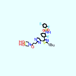 CC(C)(C)c1nc(-c2cccc(NS(=O)(=O)c3cc(F)ccc3F)c2F)c(-c2ccnc(CCC(=O)N3CCS(O)(O)CC3)n2)s1